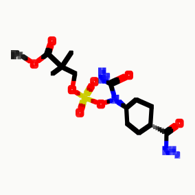 CC(C)OC(=O)C(C)(C)COS(=O)(=O)ON(C(N)=O)[C@H]1CC[C@H](C(N)=O)CC1